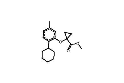 COC(=O)C1(Oc2cc(C)ccc2C2CCCCC2)CC1